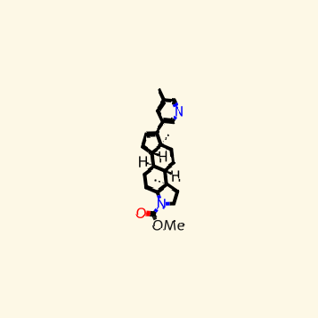 COC(=O)N1CC[C@@]2(C)C1CC[C@@H]1[C@@H]2CC[C@]2(C)C(c3cncc(C)c3)=CC[C@@H]12